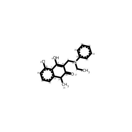 CCN(CC1=C(O)c2c(Cl)cccc2C(C)C1=O)c1ccccc1